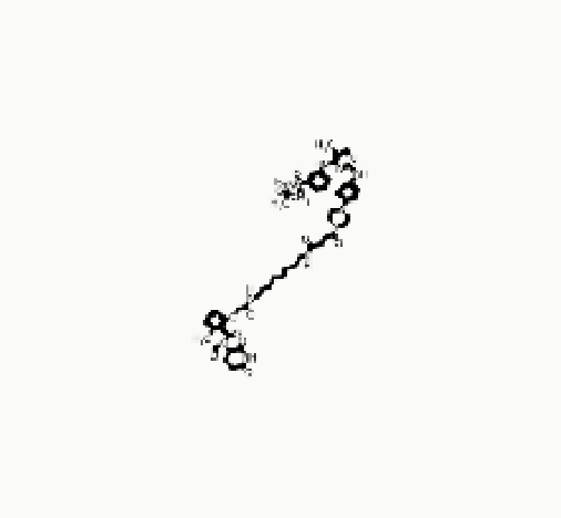 Cc1cnc(Nc2ccc(N3CCN(C(=O)CCC(=O)NCCCCCCCCNC(=O)COc4cccc(C)c4C(=O)N(C=O)C4CCC(=O)NC4=O)CC3)cc2)nc1Nc1cccc(S(=O)(=O)NC(C)(C)C)c1